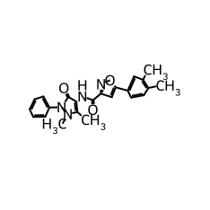 Cc1ccc(-c2cc(C(=O)Nc3c(C)n(C)n(-c4ccccc4)c3=O)no2)cc1C